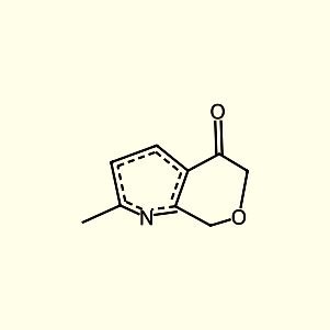 Cc1ccc2c(n1)COCC2=O